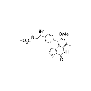 COc1cc(C)c2[nH]c(=O)c3sccc3c2c1-c1ccc(C(CN(C)C(=O)O)C(C)C)cc1